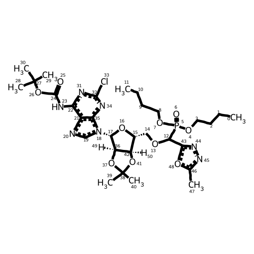 CCCCOP(=O)(OCCCC)C(OC[C@H]1O[C@@H](n2cnc3c(NC(=O)OC(C)(C)C)nc(Cl)nc32)[C@@H]2OC(C)(C)O[C@@H]21)c1nnc(C)o1